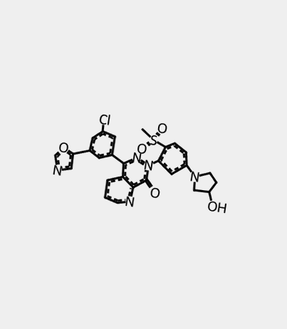 CS(=O)(=O)c1ccc(N2CCC(O)C2)cc1-n1nc(-c2cc(Cl)cc(-c3cnco3)c2)c2cccnc2c1=O